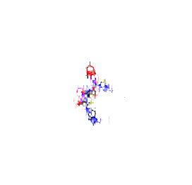 CC1CCC2C(C)(C)C2(OC(C)(C)ON=C(C(=O)NC2C(=O)N3C(C(=O)[O-])=C(C[n+]4ccc5[nH]cnc5c4)CS[C@@H]23)c2csc(N)n2)C1